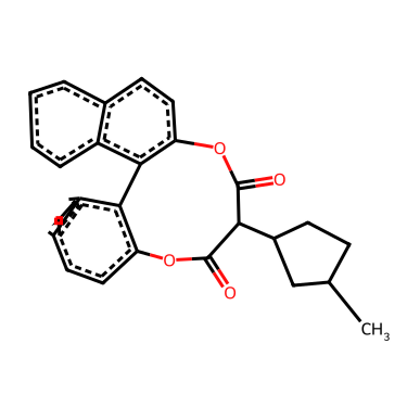 CC1CCC(C2C(=O)Oc3ccc4ccccc4c3-c3c(ccc4ccccc34)OC2=O)C1